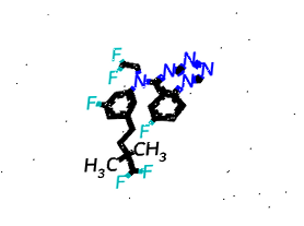 CC(C)(CCc1cc(F)cc(N(CC(F)F)c2nc3nncn3c3ccc(F)cc23)c1)C(F)F